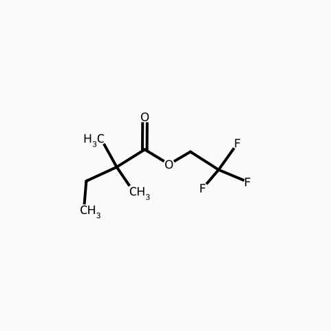 CCC(C)(C)C(=O)OCC(F)(F)F